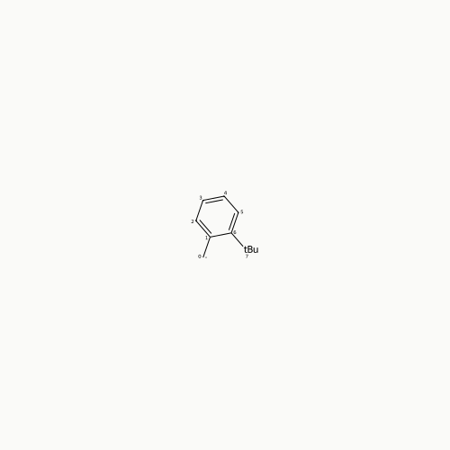 [CH2]c1ccccc1C(C)(C)C